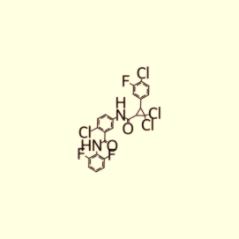 O=C(Nc1c(F)cccc1F)c1cc(NC(=O)C2C(c3ccc(Cl)c(F)c3)C2(Cl)Cl)ccc1Cl